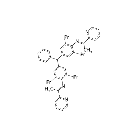 CC(=Nc1c(C(C)C)cc(C(c2ccccc2)c2cc(C(C)C)c(N=C(C)c3ccccn3)c(C(C)C)c2)cc1C(C)C)c1ccccn1